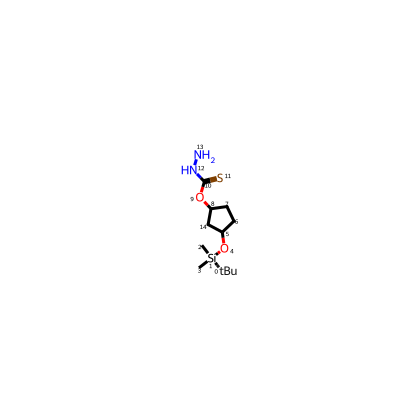 CC(C)(C)[Si](C)(C)OC1CCC(OC(=S)NN)C1